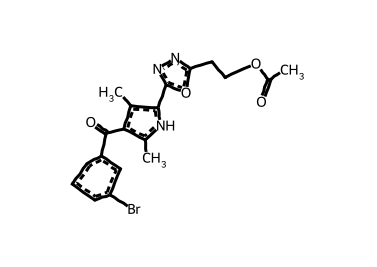 CC(=O)OCCc1nnc(-c2[nH]c(C)c(C(=O)c3cccc(Br)c3)c2C)o1